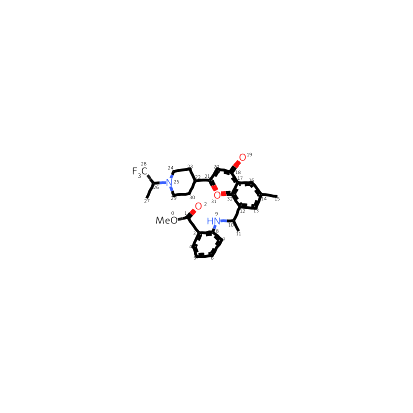 COC(=O)c1ccccc1NC(C)c1cc(C)cc2c(=O)cc(C3CCN(C(C)C(F)(F)F)CC3)oc12